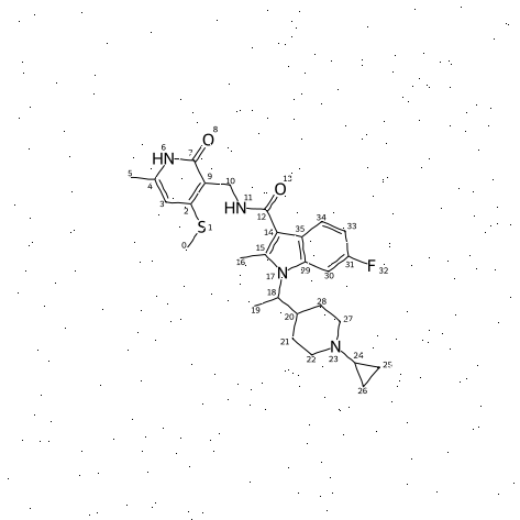 CSc1cc(C)[nH]c(=O)c1CNC(=O)c1c(C)n(C(C)C2CCN(C3CC3)CC2)c2cc(F)ccc12